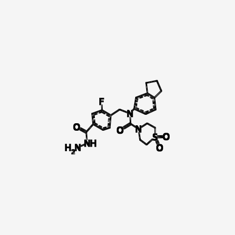 NNC(=O)c1ccc(CN(C(=O)N2CCS(=O)(=O)CC2)c2ccc3c(c2)CCC3)c(F)c1